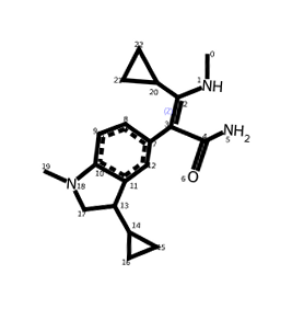 CN/C(=C(\C(N)=O)c1ccc2c(c1)C(C1CC1)CN2C)C1CC1